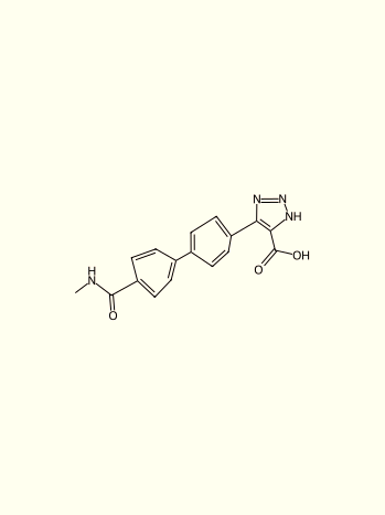 CNC(=O)c1ccc(-c2ccc(-c3nn[nH]c3C(=O)O)cc2)cc1